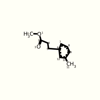 COC(=O)CCc1cccc(C)c1